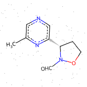 Cc1cncc([C@@H]2CCON2C=O)n1